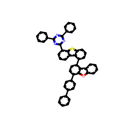 c1ccc(-c2ccc(-c3ccc(-c4cccc5sc6c(-c7nc(-c8ccccc8)nc(-c8ccccc8)n7)cccc6c45)c4c3oc3ccccc34)cc2)cc1